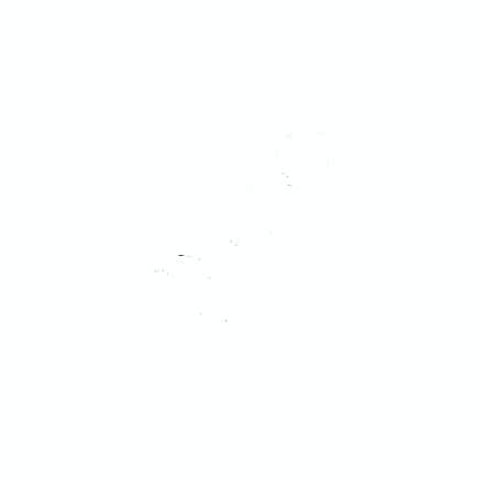 NC[C@H](NCC1CCC1)C(=O)Nc1ccc(N2CCOCC2=O)cc1F